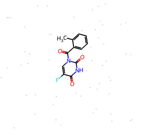 Cc1ccccc1C(=O)n1cc(F)c(=O)[nH]c1=O